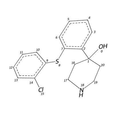 OC1(c2ccccc2Sc2ccccc2Cl)CCNCC1